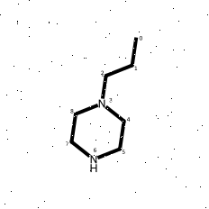 CC[CH]N1CCNCC1